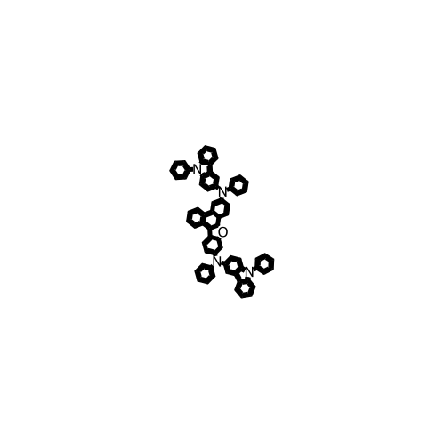 C1=CC2C(=c3ccccc3=C3C4=CC=C(N(c5ccccc5)c5ccc6c(c5)c5ccccc5n6-c5ccccc5)CC4OC32)C=C1N(c1ccccc1)c1ccc2c(c1)c1ccccc1n2-c1ccccc1